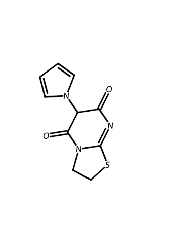 O=C1N=C2SCCN2C(=O)C1n1cccc1